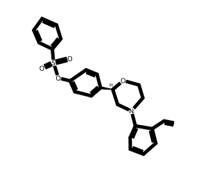 C=Cc1ccccc1N1CCO[C@H](c2ccc(OS(=O)(=O)c3ccccc3)cc2)C1